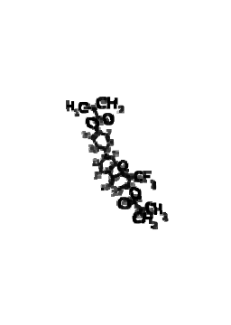 C=C(C)C(=O)Oc1ccc(-c2ccc3c(c2)oc2c(C(F)(F)F)c(OC(=O)C(=C)C)ccc23)cc1